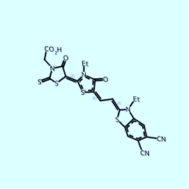 CCN1/C(=C/C=c2/s/c(=C3\SC(=S)N(CC(=O)O)C3=O)n(CC)c2=O)Sc2cc(C#N)c(C#N)cc21